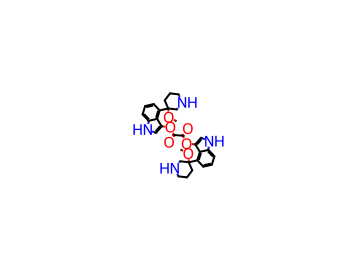 COC1(c2cccc3[nH]cc(OC(=O)C(=O)Oc4c[nH]c5cccc(C6(OC)CCCNC6)c45)c23)CCCNC1